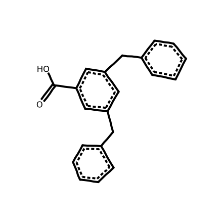 O=C(O)c1cc(Cc2ccccc2)cc(Cc2ccccc2)c1